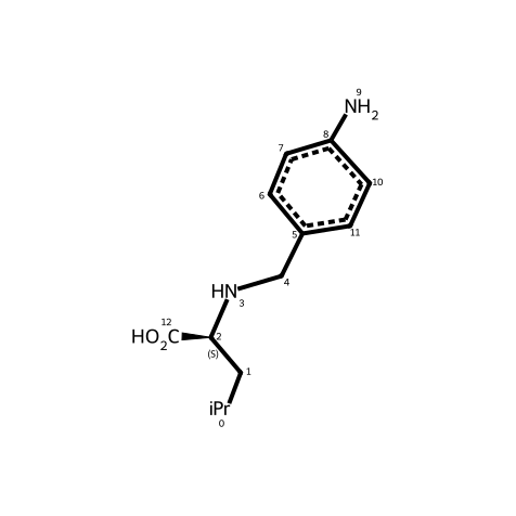 CC(C)C[C@H](NCc1ccc(N)cc1)C(=O)O